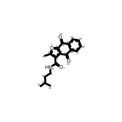 Cc1oc2c(c1C(=O)NCCC(C)C)C(=O)c1ccccc1C2=O